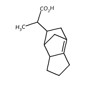 CC(C(=O)O)C1CC2=C3CCCC3C1C2